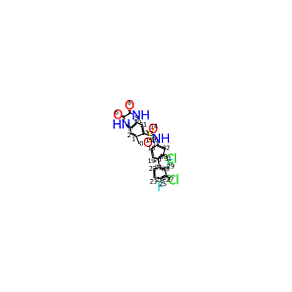 Cc1cc2[nH]c(=O)c(=O)[nH]c2cc1S(=O)(=O)Nc1ccc(-c2ccc(F)c(Cl)c2F)c(Cl)c1